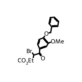 CCOC(=O)C(Br)C(=O)c1ccc(OCc2ccccc2)c(OC)c1